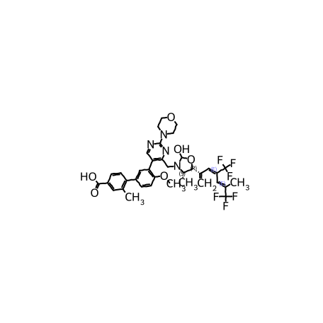 C=C(/C=C(\C=C(/C)C(F)(F)F)C(F)(F)F)[C@H]1OC(O)N(Cc2nc(N3CCOCC3)ncc2-c2cc(-c3ccc(C(=O)O)cc3C)ccc2OC)[C@H]1C